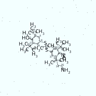 CC(C)(Sc1cc(C(C)(C)C)c(O)c(C(C)(C)C)c1)Sc1cc(C(C)(C)C)c(N=O)c(C(C)(C)CCN)c1